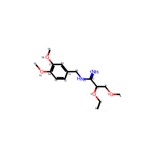 CCOC(COC)C(=N)NCc1ccc(OC)c(OC)c1